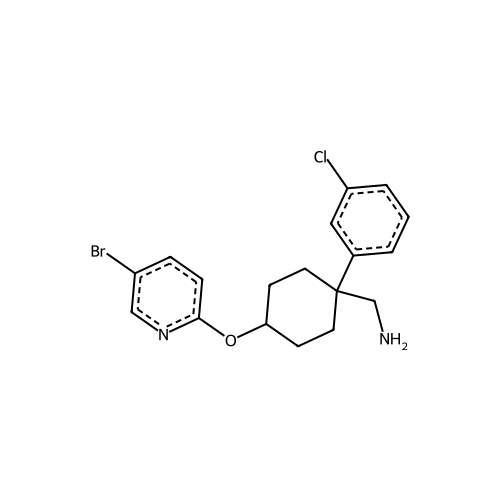 NCC1(c2cccc(Cl)c2)CCC(Oc2ccc(Br)cn2)CC1